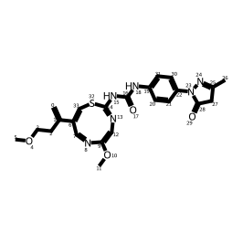 C=C(CCOC)c1cnc(OC)cnc(NC(=O)Nc2ccc(N3N=C(C)CC3=O)cc2)sc1